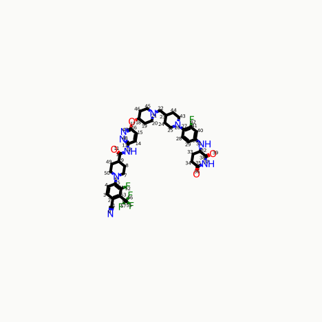 N#Cc1ccc(N2CCC(C(=O)Nc3ccc(OC4CCN(CC5CCN(c6ccc(NC7CCC(=O)NC7=O)cc6F)CC5)CC4)nn3)CC2)c(F)c1C(F)(F)F